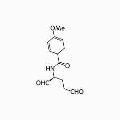 COC1=CCC(C(=O)N[C@H](C=O)CCC=O)C=C1